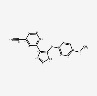 COc1ccc(Cc2[nH]cnc2-c2cc(C#N)ccn2)cc1